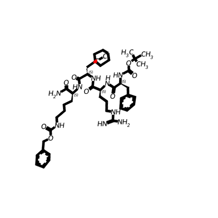 CC(C)(C)OC(=O)N[C@@H](Cc1ccccc1)C(=O)N[C@@H](CCCNC(=N)N)C(=O)N[C@@H](CC12CCC(CC1)CC2)C(=O)N[C@@H](CCCCNC(=O)OCc1ccccc1)C(N)=O